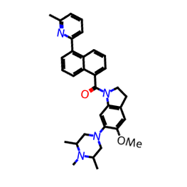 COc1cc2c(cc1N1CC(C)N(C)C(C)C1)N(C(=O)c1cccc3c(-c4cccc(C)n4)cccc13)CC2